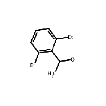 CCc1cccc(CC)c1C(C)[O]